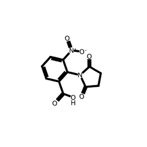 O=C(O)c1cccc([N+](=O)[O-])c1N1C(=O)CCC1=O